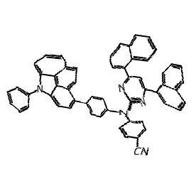 N#Cc1ccc(N(c2ccc(-c3ccc4c5c3ccc3cccc(c35)n4-c3ccccc3)cc2)c2nc(-c3cccc4ccccc34)cc(-c3cccc4ccccc34)n2)cc1